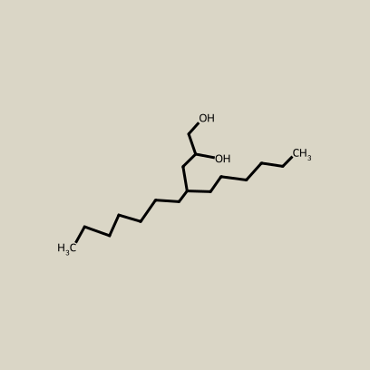 CCCCCCCC(CCCCCC)CC(O)CO